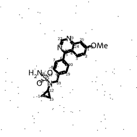 COc1ccc2c(-c3ccc(CN(C4CC4)S(N)(=O)=O)cc3)ncnc2c1